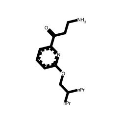 CCCC(CCC)COc1cccc(C(=O)CCN)n1